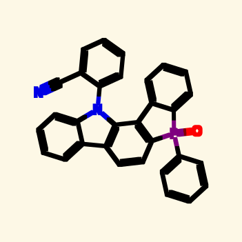 N#Cc1ccccc1-n1c2ccccc2c2ccc3c(c21)-c1ccccc1P3(=O)c1ccccc1